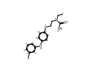 CCN(CCOc1ccc(Oc2cccc(C)c2)cc1)C(=O)S